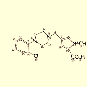 Cn1cc(CN2CCN(c3ccccc3Cl)CC2)cc1C(=O)O